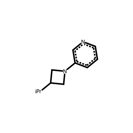 CC(C)C1CN(c2cccnc2)C1